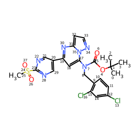 CC(C)(C)OC(=O)N(Cc1ccc(Cl)cc1Cl)c1cc(-c2cnc(S(C)(=O)=O)nc2)nc2ccnn12